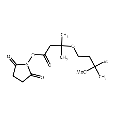 CCC(C)(CCOC(C)(C)CC(=O)ON1C(=O)CCC1=O)OC